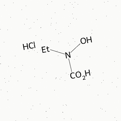 CCN(O)C(=O)O.Cl